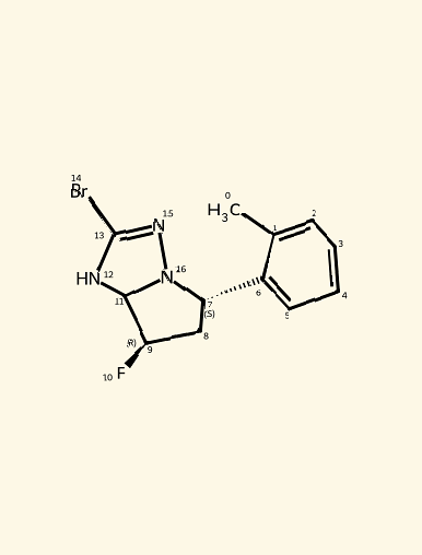 Cc1ccccc1[C@@H]1C[C@@H](F)C2NC(Br)=NN21